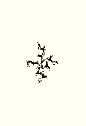 CCC[Si](OC(C)OC(C)OC)(OC(C)OC(C)OC)OC(C)OC(C)OC.CN